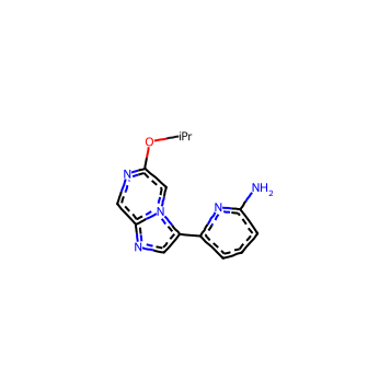 CC(C)Oc1cn2c(-c3cccc(N)n3)cnc2cn1